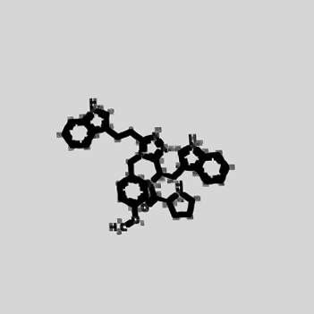 COc1ccc(Cn2c(CCc3c[nH]c4ccccc34)nnc2[C@@H](Cc2c[nH]c3ccccc23)NC(=O)[C@@H]2CCCN2)cc1